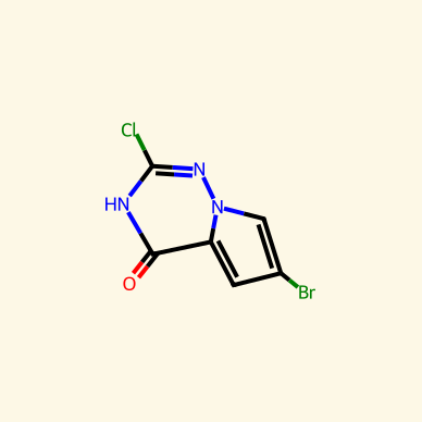 O=c1[nH]c(Cl)nn2cc(Br)cc12